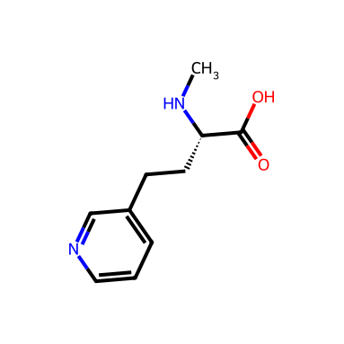 CN[C@@H](CCc1cccnc1)C(=O)O